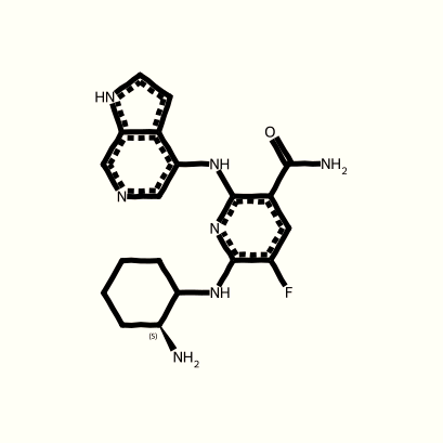 NC(=O)c1cc(F)c(NC2CCCC[C@@H]2N)nc1Nc1cncc2[nH]ccc12